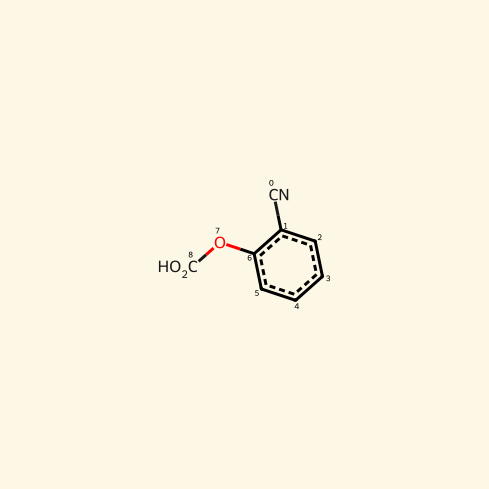 N#Cc1ccccc1OC(=O)O